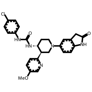 COc1ccc([C@@H]2CN(c3ccc4c(c3)CC(=O)N4)CC[C@H]2NC(=O)Nc2ccc(Cl)cc2)nc1